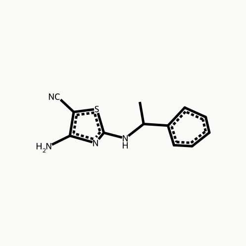 CC(Nc1nc(N)c(C#N)s1)c1ccccc1